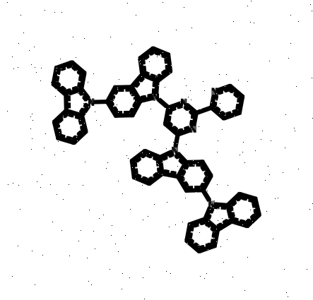 c1ccc(-c2nc(-n3c4ccccc4c4cc(-n5c6ccccc6c6ccccc65)ccc43)cc(-n3c4ccccc4c4cc(-n5c6ccccc6c6ccccc65)ccc43)n2)nc1